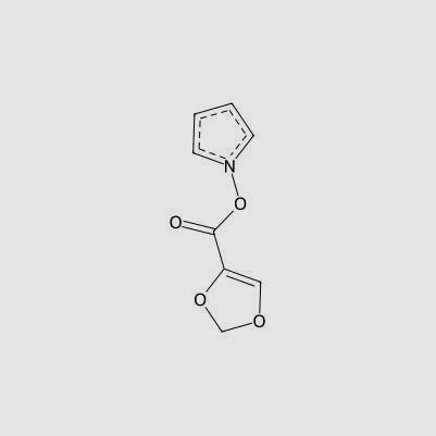 O=C(On1cccc1)C1=COCO1